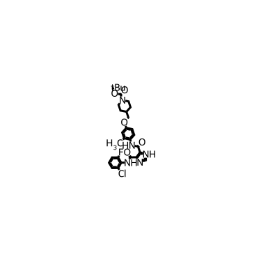 Cc1cc(OCC2CCN(C(=O)OC(C)(C)C)CC2)ccc1NC(=O)c1[nH]cnc1C(=O)Nc1c(F)cccc1Cl